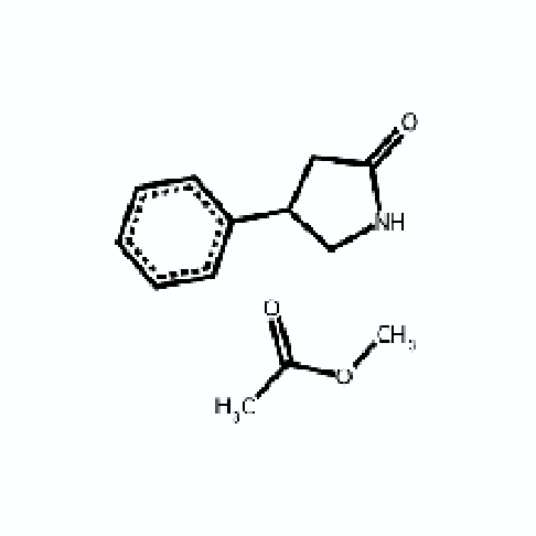 COC(C)=O.O=C1CC(c2ccccc2)CN1